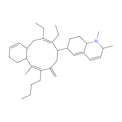 C=C1CC(C2C=C3C=CC(C)N(C)C3CC2)/C(CC)=C(/CC)CC2C=CCCC2/C(C)=C\1CCCC